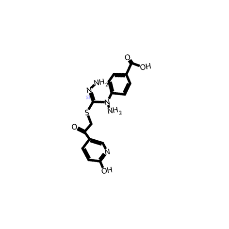 N/N=C(/SCC(=O)c1ccc(O)nc1)N(N)c1ccc(C(=O)O)cc1